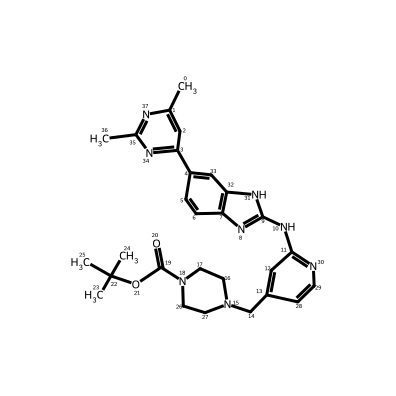 Cc1cc(-c2ccc3nc(Nc4cc(CN5CCN(C(=O)OC(C)(C)C)CC5)ccn4)[nH]c3c2)nc(C)n1